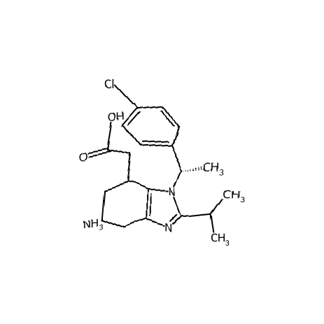 CC(C)c1nc2c(n1[C@@H](C)c1ccc(Cl)cc1)C(CC(=O)O)CCC2.N